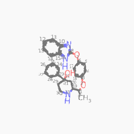 CC(Oc1ccc(Oc2nc3ccccc3[nH]2)cc1)C1CC(O)(c2ccccc2)CCN1